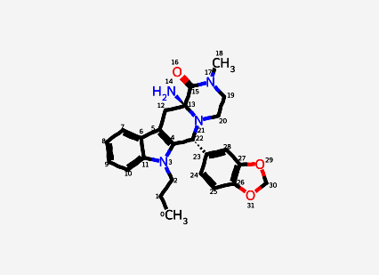 CCCn1c2c(c3ccccc31)C[C@]1(N)C(=O)N(C)CCN1[C@@H]2c1ccc2c(c1)OCO2